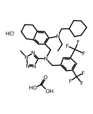 CCN(CC1CCCCC1)c1cc2c(cc1CN(Cc1cc(C(F)(F)F)cc(C(F)(F)F)c1)c1nnn(C)n1)CCCC2.Cl.O=C(O)O